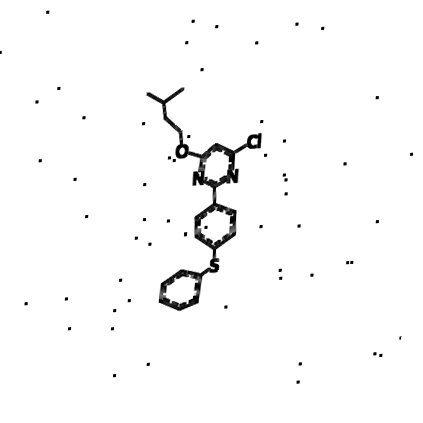 CC(C)CCOc1cc(Cl)nc(-c2ccc(Sc3ccccc3)cc2)n1